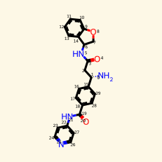 N[C@@H](CC(=O)NC1COc2ccccc21)c1ccc(C(=O)Nc2ccncc2)cc1